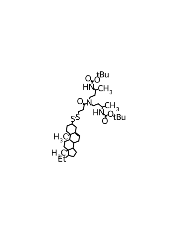 CCC1CCC2C3CC=C4CC(SSCCC(=O)N(CCC(C)NC(=O)OC(C)(C)C)CCC(C)NC(=O)OC(C)(C)C)CCC4(C)C3CCC12C